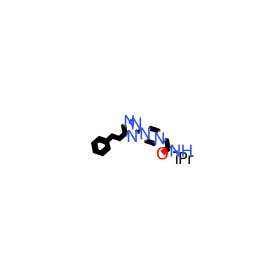 CC(C)NC(=O)CN1CCN(c2nncc(CCc3ccccc3)n2)CC1